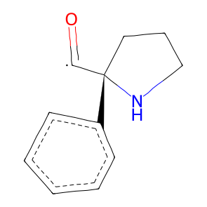 O=[C][C@]1(c2ccccc2)CCCN1